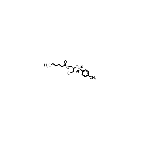 CCCCCC(=O)OC[C@H](CCl)OS(=O)(=O)c1ccc(C)cc1